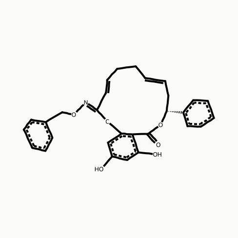 O=C1O[C@@H](c2ccccc2)C/C=C/CC/C=C/C(=NOCc2ccccc2)Cc2cc(O)cc(O)c21